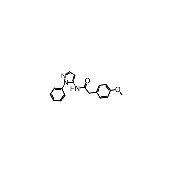 COc1ccc(CC(=O)Nc2ccnn2-c2ccccc2)cc1